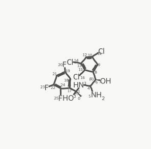 C[C@](O)(NC(N)[C@H](O)c1cc(Cl)cc(Cl)c1Cl)c1cc(F)cc(F)c1F